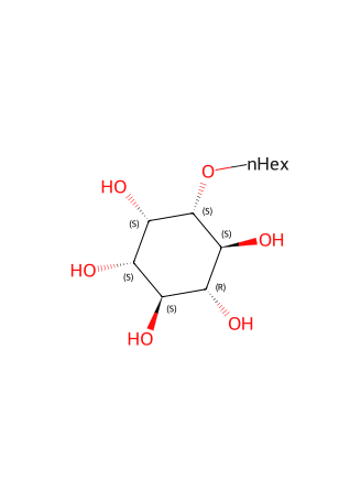 CCCCCCO[C@@H]1[C@@H](O)[C@H](O)[C@@H](O)[C@H](O)[C@@H]1O